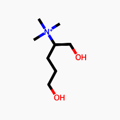 C[N+](C)(C)C(CO)CCCO